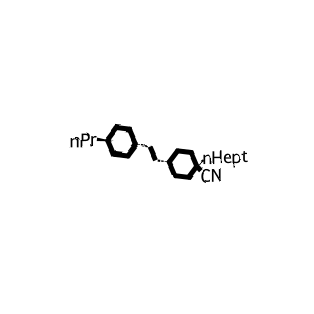 CCCCCCC[C@]1(C#N)CC[C@H](CC[C@H]2CC[C@H](CCC)CC2)CC1